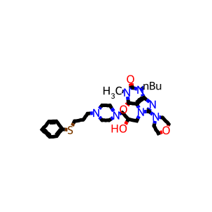 CCCCn1c(=O)n(C)c(=O)c2c1nc(N1CCOCC1)n2CC(O)CN1CCN(CCCSc2ccccc2)CC1